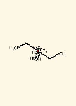 CCCCCCCC/C=C\CCCCCCCC(=O)C(O)C(C(=O)CCCCCCC/C=C\CCCCCCCC)N(C)C.O=P(O)(O)O